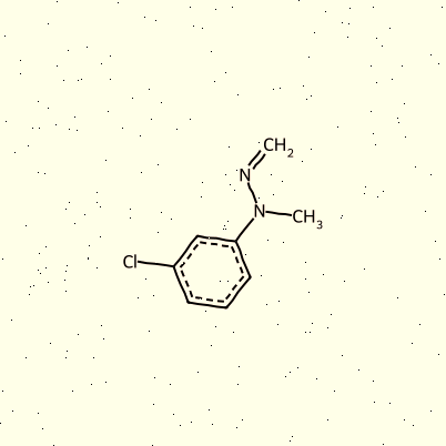 C=NN(C)c1cccc(Cl)c1